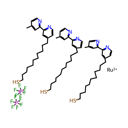 Cc1ccnc(-c2cc(CCCCCCCCCCCS)ccn2)c1.Cc1ccnc(-c2cc(CCCCCCCCCCCS)ccn2)c1.Cc1ccnc(-c2cc(CCCCCCCCCCCS)ccn2)c1.F[P-](F)(F)(F)(F)F.F[P-](F)(F)(F)(F)F.[Ru+2]